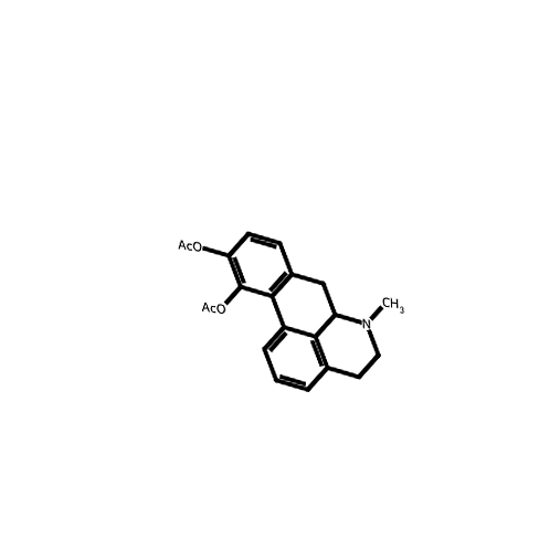 CC(=O)Oc1ccc2c(c1OC(C)=O)-c1cccc3c1C(C2)N(C)CC3